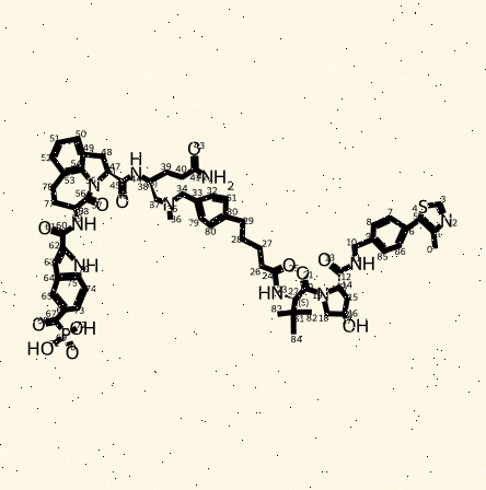 Cc1ncsc1-c1ccc(CNC(=O)[C@@H]2C[C@@H](O)CN2C(=O)[C@@H](NC(=O)CCCCc2ccc(CN(C)C[C@H](CCC(N)=O)NC(=O)[C@@H]3Cc4cccc5c4N3C(=O)[C@@H](NC(=O)c3cc4cc(C(=O)P(=O)(O)O)ccc4[nH]3)CC5)cc2)C(C)(C)C)cc1